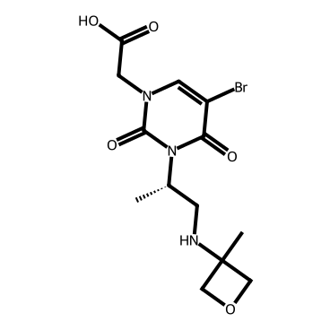 C[C@@H](CNC1(C)COC1)n1c(=O)c(Br)cn(CC(=O)O)c1=O